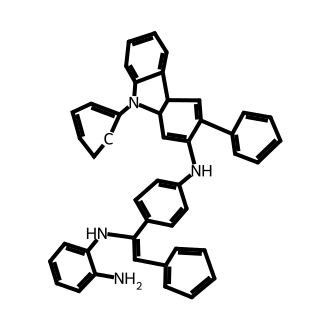 Nc1ccccc1N/C(=C/c1ccccc1)c1ccc(NC2=CC3C(C=C2c2ccccc2)c2ccccc2N3C2=CC=CCC2)cc1